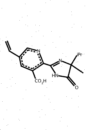 C=Cc1cnc(C2=NC(C)(C(C)C)C(=O)N2)c(C(=O)O)c1